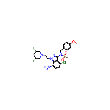 COc1ccc(CN(c2nn(CCN3C[C@H](F)C[C@H](F)C3)c3c(N)ccc(Cl)c23)S(C)(=O)=O)cc1